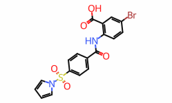 O=C(Nc1ccc(Br)cc1C(=O)O)c1ccc(S(=O)(=O)n2cccc2)cc1